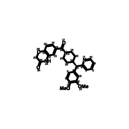 COc1ccc([C@H](c2ccccn2)C2CCN(C(=O)c3ccc4c(c3)NC(=O)CO4)CC2)cc1OC